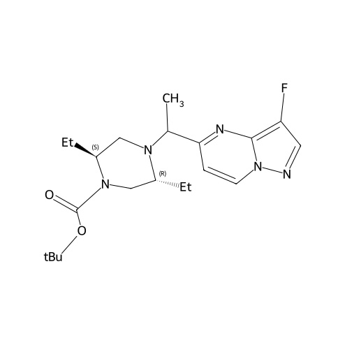 CC[C@H]1CN(C(C)c2ccn3ncc(F)c3n2)[C@H](CC)CN1C(=O)OC(C)(C)C